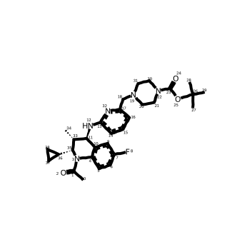 CC(=O)N1c2ccc(F)cc2[C@H](Nc2cccc(CN3CCN(C(=O)OC(C)(C)C)CC3)n2)[C@@H](C)[C@H]1C1CC1